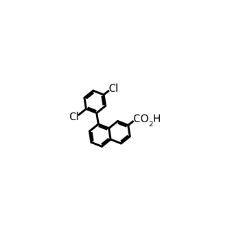 O=C(O)c1ccc2cccc(-c3cc(Cl)ccc3Cl)c2c1